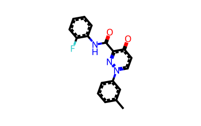 Cc1cccc(-n2ccc(=O)c(C(=O)Nc3ccccc3F)n2)c1